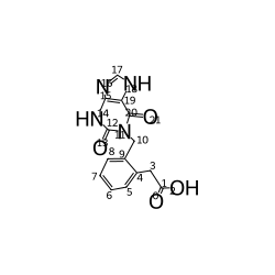 O=C(O)Cc1ccccc1Cn1c(=O)[nH]c2nc[nH]c2c1=O